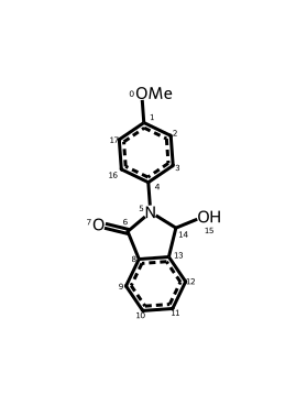 COc1ccc(N2C(=O)c3ccccc3C2O)cc1